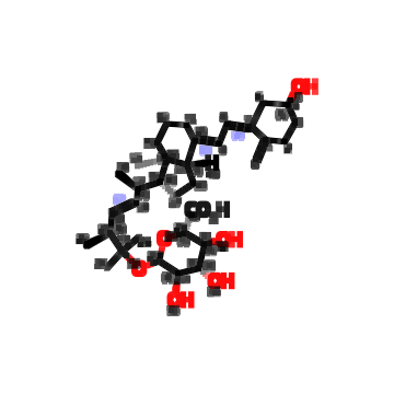 C=C1CC[C@H](O)C/C1=C/C=C1\CCC[C@]2(C)[C@@H]([C@H](C)/C=C/[C@H](C)C(C)(C)OC3O[C@H](C(=O)O)[C@@H](O)[C@H](O)[C@H]3O)CC[C@@H]12